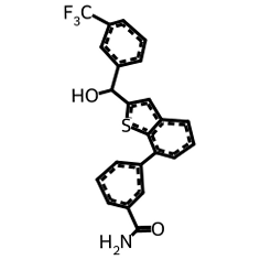 NC(=O)c1cccc(-c2cccc3cc(C(O)c4cccc(C(F)(F)F)c4)sc23)c1